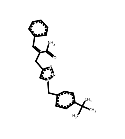 CC(C)(C)c1ccc(Cn2cc(CC(=Cc3ccccc3)C(N)=O)nn2)cc1